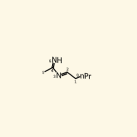 [CH2]CCCC=NC(C)=N